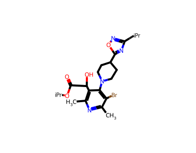 Cc1nc(C)c(C(O)C(=O)OC(C)C)c(N2CCC(c3nc(C(C)C)no3)CC2)c1Br